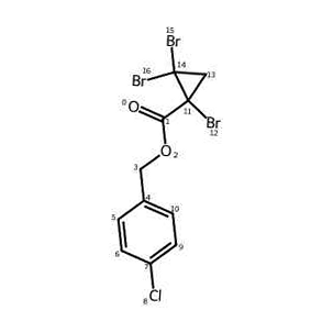 O=C(OCc1ccc(Cl)cc1)C1(Br)CC1(Br)Br